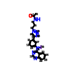 CC(=O)NCCCn1cc(-c2cccc(N(I)c3ncnc4ccccc34)c2)nn1